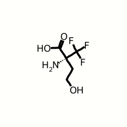 N[C@](CCO)(C(=O)O)C(F)(F)F